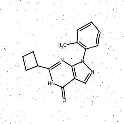 Cc1ccncc1-n1ncc2c(=O)[nH]c(C3CCC3)nc21